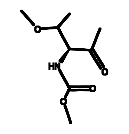 COC(=O)N[C@H](C(C)=O)C(C)OC